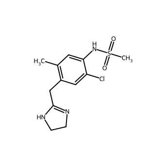 Cc1cc(NS(C)(=O)=O)c(Cl)cc1CC1=NCCN1